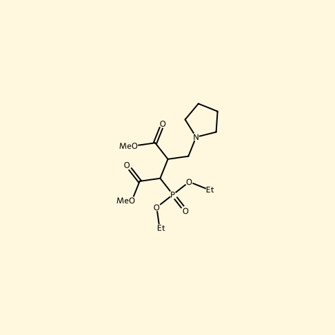 CCOP(=O)(OCC)C(C(=O)OC)C(CN1CCCC1)C(=O)OC